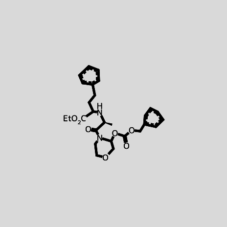 CCOC(=O)C(CCc1ccccc1)N[C@@H](C)C(=O)N1CCOCC1OC(=O)OCc1ccccc1